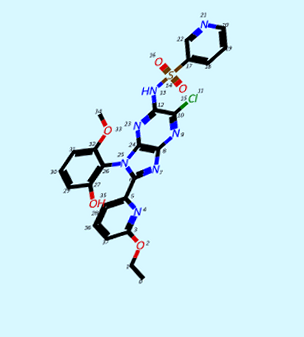 CCOC1=NC(c2nc3nc(Cl)c(NS(=O)(=O)c4cccnc4)nc3n2-c2c(O)cccc2OC)=C=C=C1